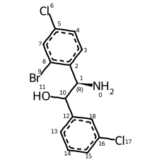 N[C@H](c1ccc(Cl)cc1Br)C(O)c1cccc(Cl)c1